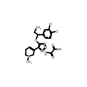 CCC(Oc1nsnc1C1=CCCN(C)C1)c1ccc(Cl)c(Cl)c1.O=C(O)C(=O)O